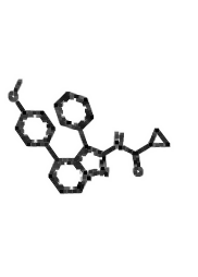 COc1ccc(-c2cccn3nc(NC(=O)C4CC4)c(-c4ccccc4)c23)cc1